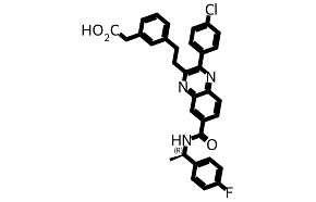 C[C@@H](NC(=O)c1ccc2nc(-c3ccc(Cl)cc3)c(CCc3cccc(CC(=O)O)c3)nc2c1)c1ccc(F)cc1